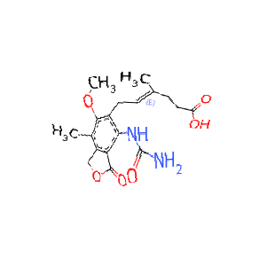 COc1c(C)c2c(c(NC(N)=O)c1C/C=C(\C)CCC(=O)O)C(=O)OC2